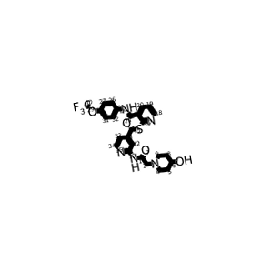 O=C(CN1CCC(O)CC1)Nc1cc(CSc2ncccc2C(=O)Nc2ccc(OC(F)(F)F)cc2)ccn1